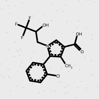 Cc1c(C(=O)O)cn(CC(O)C(F)(F)F)c1-c1ccccc1Cl